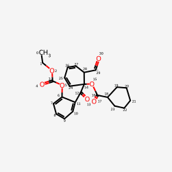 CCOC(=O)Oc1ccccc1C(=O)C1(OC(=O)C2CCCCC2)C=CC=CC1[C]=O